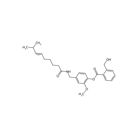 COc1cc(CNC(=O)CCCC/C=C/C(C)C)ccc1OC(=O)c1ccccc1CO